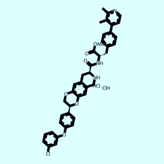 COC(=O)[C@H](Cc1ccc(-c2ccnc(C)c2C)cc1)NC(=O)[C@@H]1Cc2cc3c(cc2CN1)O[C@@H](c1ccc(Oc2cccc(Cl)c2)cc1)CO3.Cl.Cl